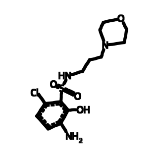 Nc1ccc(Cl)c(S(=O)(=O)NCCCN2CCOCC2)c1O